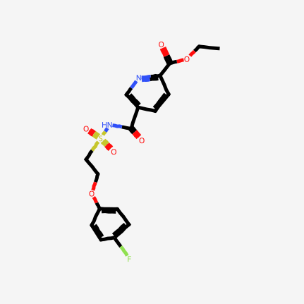 CCOC(=O)c1ccc(C(=O)NS(=O)(=O)CCOc2ccc(F)cc2)cn1